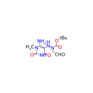 Cn1c(N)c(NN(CC=O)C(=O)OC(C)(C)C)c(=O)[nH]c1=O